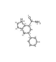 NC(=O)c1cc(-c2ccccc2)nc2cc[nH]c12